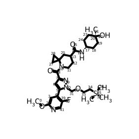 COc1cc(-c2cc(C(=O)N3CCC(C(=O)N[C@H]4CC[C@](C)(O)CC4)CC34CC4)nn2COCC[Si](C)(C)C)c(F)cn1